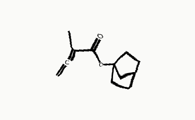 C=C=C(C)C(=O)OC12CCC(CC1)C2